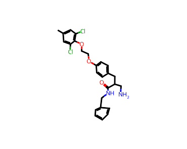 Cc1cc(Cl)c(OCCOc2ccc(CC(CN)C(=O)NCc3ccccc3)cc2)c(Cl)c1